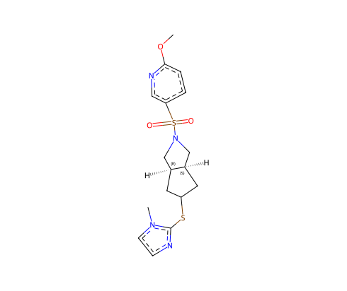 COc1ccc(S(=O)(=O)N2C[C@H]3CC(Sc4nccn4C)C[C@H]3C2)cn1